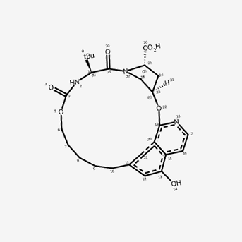 CC(C)(C)[C@@H]1NC(=O)OCCCCCc2cc(O)c3ccnc(c3c2)O[C@@H]2C[C@@H](C(=O)O)N(C2)C1=O